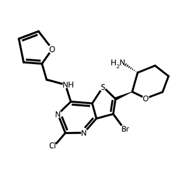 N[C@@H]1CCCO[C@H]1c1sc2c(NCc3ccco3)nc(Cl)nc2c1Br